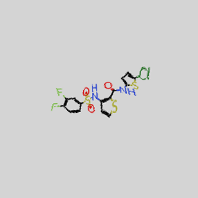 O=C(Nc1ccc(Cl)s1)c1sccc1NS(=O)(=O)c1ccc(F)c(F)c1